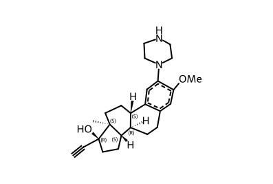 C#C[C@@]1(O)CC[C@H]2[C@@H]3CCc4cc(OC)c(N5CCNCC5)cc4[C@H]3CC[C@@]21C